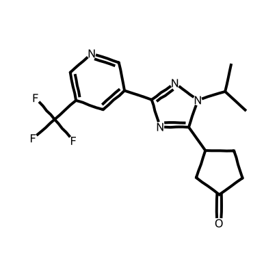 CC(C)n1nc(-c2cncc(C(F)(F)F)c2)nc1C1CCC(=O)C1